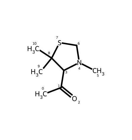 CC(=O)C1N(C)CSC1(C)C